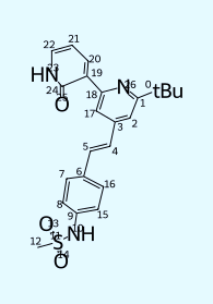 CC(C)(C)c1cc(C=Cc2ccc(NS(C)(=O)=O)cc2)cc(-c2ccc[nH]c2=O)n1